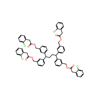 O=C(Cc1ccccc1Cl)OCc1cccc(C(CCC(c2cccc(COC(=O)Cc3ccccc3Cl)c2)c2cccc(COC(=O)Cc3ccccc3Cl)c2)c2cccc(COC(=O)Cc3ccccc3Cl)c2)c1